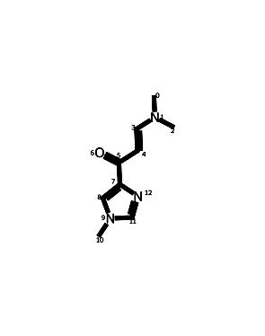 CN(C)C=CC(=O)c1cn(C)cn1